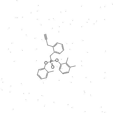 C#CCc1ccccc1CP(=O)(Oc1ccccc1C)Oc1cccc(C)c1C